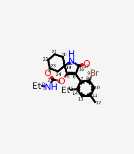 CCNC(=O)OC1=C(c2c(Br)cc(C)cc2CC)C(=O)NC12CCCCC2